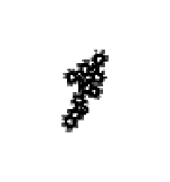 c1ccc(-n2c3ccccc3c3c2ccc2c4ccccc4n(-c4nc(-c5ccc6c(c5)oc5cc7ccccc7cc56)c5ccccc5n4)c23)cc1